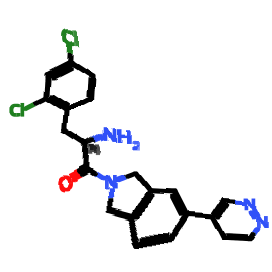 N[C@H](Cc1ccc(Cl)cc1Cl)C(=O)N1Cc2ccc(-c3ccnnc3)cc2C1